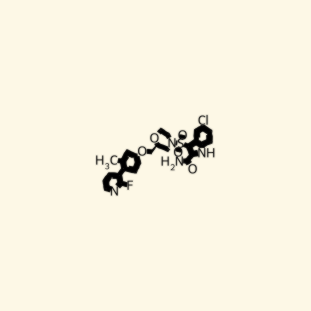 Cc1cc(OC[C@@H]2CN(S(=O)(=O)c3c(C(N)=O)[nH]c4ccc(Cl)cc34)CCO2)ccc1-c1cccnc1F